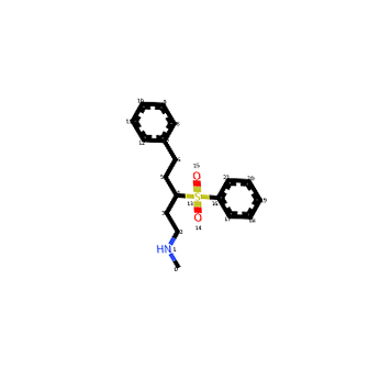 CNCCC(CCc1ccccc1)S(=O)(=O)c1ccccc1